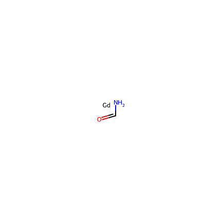 NC=O.[Gd]